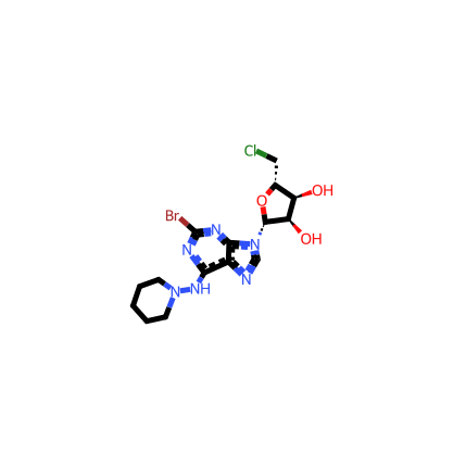 O[C@@H]1[C@H](O)[C@@H](CCl)O[C@H]1n1cnc2c(NN3CCCCC3)nc(Br)nc21